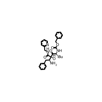 CC[C@H](C)[C@H](NC(=O)OCc1ccccc1)C(=O)[C@@](O)(C(=O)NCc1ccccn1)[C@@H](N)Cc1ccccc1